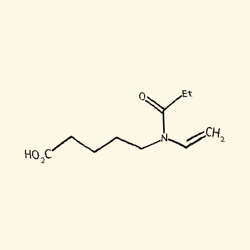 C=CN(CCCCC(=O)O)C(=O)CC